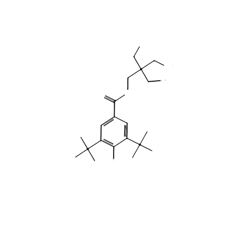 CC(C)(C)c1cc(C(=O)OCC(CO)(CO)CO)cc(C(C)(C)C)c1O